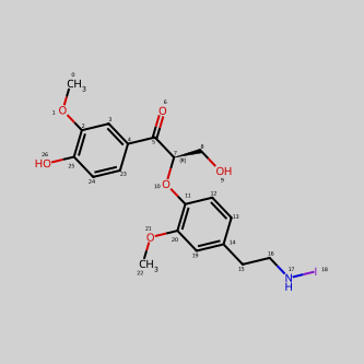 COc1cc(C(=O)[C@@H](CO)Oc2ccc(CCNI)cc2OC)ccc1O